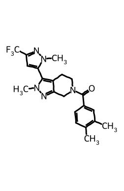 Cc1ccc(C(=O)N2CCc3c(nn(C)c3-c3cc(C(F)(F)F)nn3C)C2)cc1C